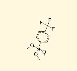 CO[Si](OC)(OC)c1ccc(C(F)(F)F)cc1